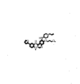 C=CCN1CCC(Nc2cc3c(Nc4cc(-c5ccco5)ccc4OC)ncnc3cc2OCCCOC)CC1